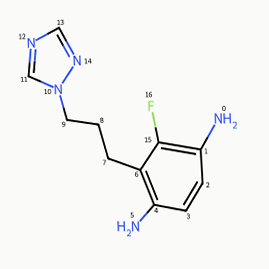 Nc1ccc(N)c(CCCn2cncn2)c1F